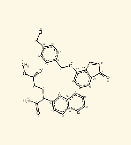 COC(=O)CCC(C(N)=O)c1ccc2ccccc2n1.O=C1N=Cc2c(OCc3ccc(CCl)cc3)cccc21